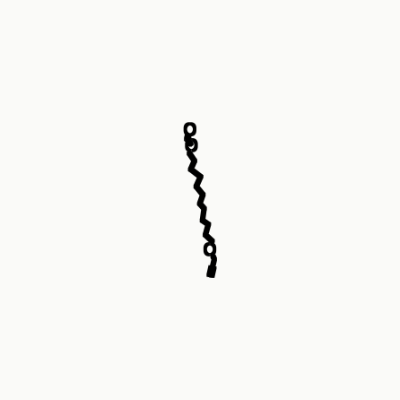 C#CCOCCCCCCCCCCCCOC=O